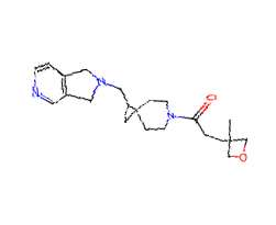 CC1(CC(=O)N2CCC3(CC2)CC3CN2Cc3ccncc3C2)COC1